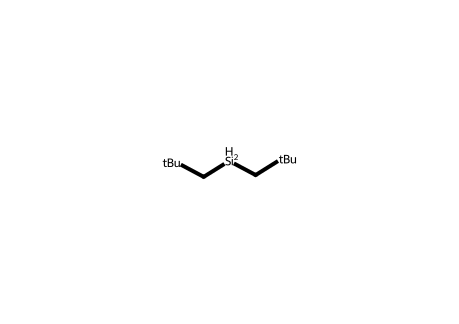 CC(C)(C)C[SiH2]CC(C)(C)C